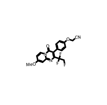 COc1ccn2c(=O)c(-c3ccc(OCC#N)cc3)c(C(F)(F)CF)nc2c1